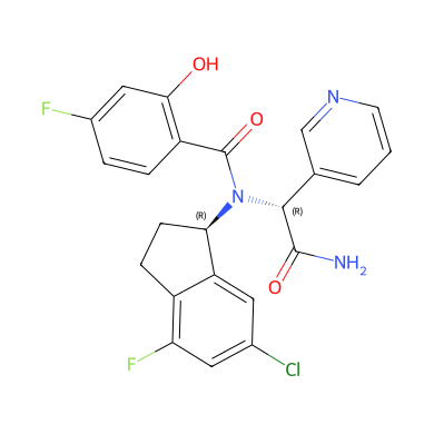 NC(=O)[C@@H](c1cccnc1)N(C(=O)c1ccc(F)cc1O)[C@@H]1CCc2c(F)cc(Cl)cc21